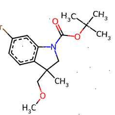 COCC1(C)CN(C(=O)OC(C)(C)C)c2cc(Br)ccc21